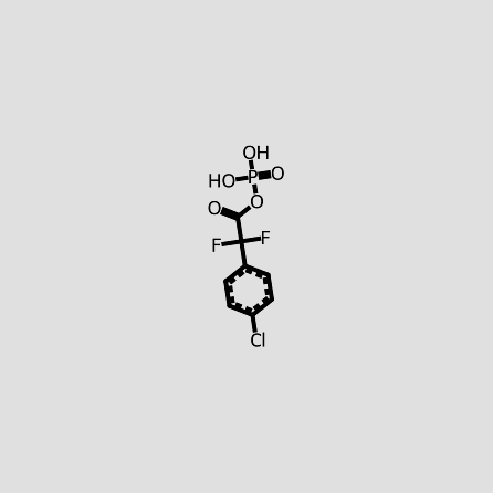 O=C(OP(=O)(O)O)C(F)(F)c1ccc(Cl)cc1